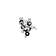 C[C@@H](Cn1cc(C(=O)N2CCN(c3ncc(C(F)(F)F)cn3)CC2)c2cc(F)ccc21)Nc1cn[nH]c(=O)c1C(F)(F)F